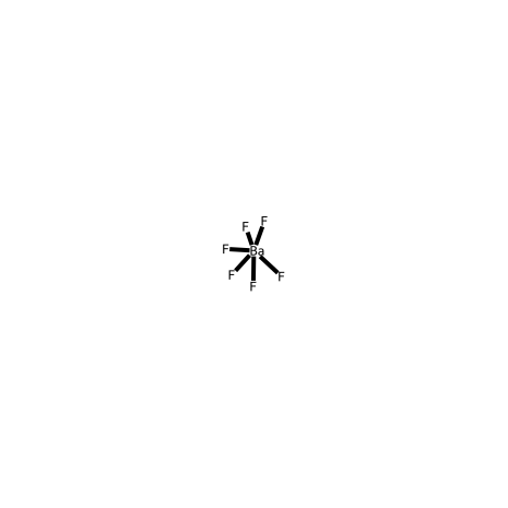 [F][Ba]([F])([F])([F])([F])[F]